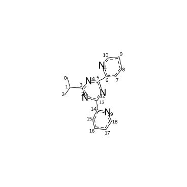 CC(C)c1nc(-c2ccccn2)nc(-c2ccccn2)n1